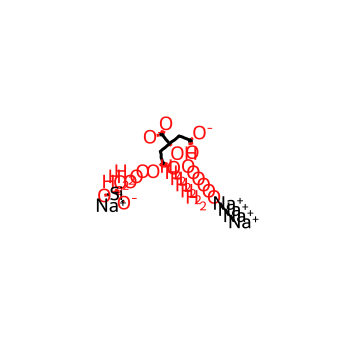 O.O.O.O.O.O.O.O.O.O=C([O-])CC(O)(CC(=O)[O-])C(=O)[O-].O=[Si]([O-])[O-].[Na+].[Na+].[Na+].[Na+].[Na+]